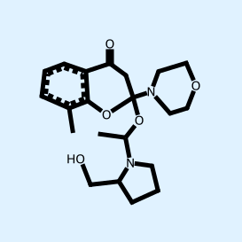 Cc1cccc2c1OC(OC(C)N1CCCC1CO)(N1CCOCC1)CC2=O